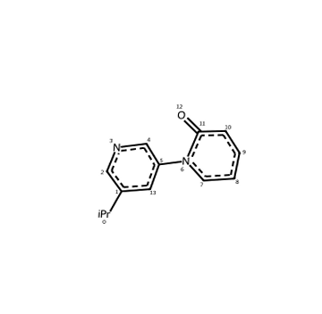 CC(C)c1cncc(-n2ccccc2=O)c1